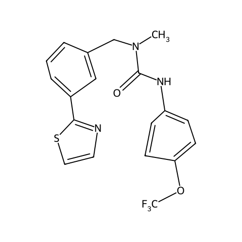 CN(Cc1cccc(-c2nccs2)c1)C(=O)Nc1ccc(OC(F)(F)F)cc1